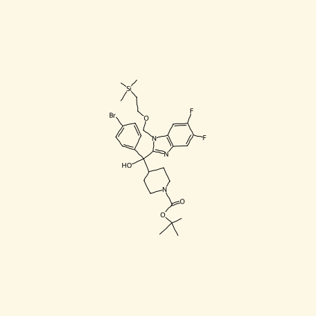 CC(C)(C)OC(=O)N1CCC(C(O)(c2ccc(Br)cc2)c2nc3cc(F)c(F)cc3n2COCC[Si](C)(C)C)CC1